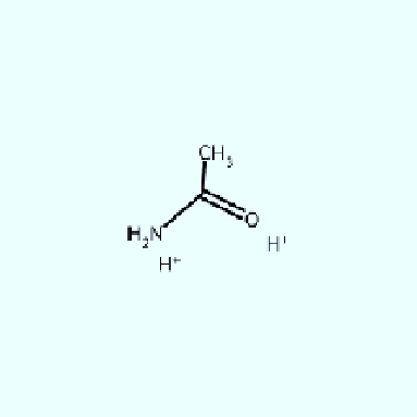 CC(N)=O.[H+].[H+]